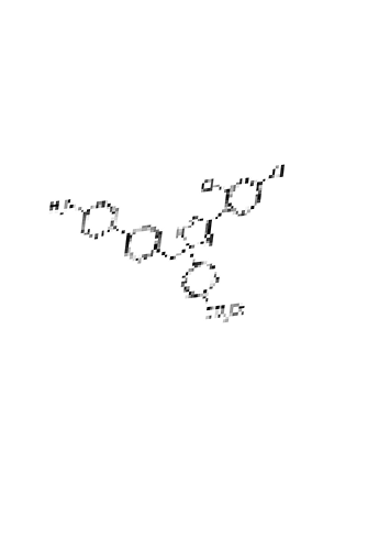 CCOC(=O)c1ccc(C2(Cc3ccc(-c4ccc(N)cc4)cc3)N=CC(c3ccc(Cl)cc3Cl)=N2)cc1